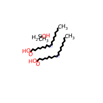 CCCCCCCC/C=C\CCCCCCCC(=O)O.CCCCCCCC/C=C\CCCCCCCC(=O)O.C[SiH2]O